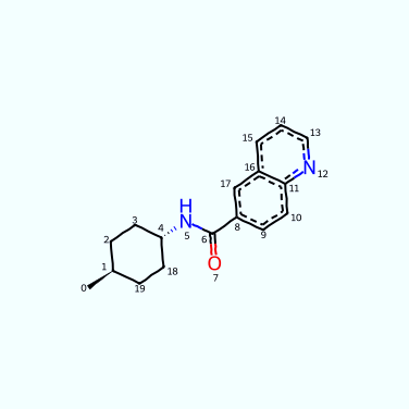 C[C@H]1CC[C@H](NC(=O)c2ccc3ncccc3c2)CC1